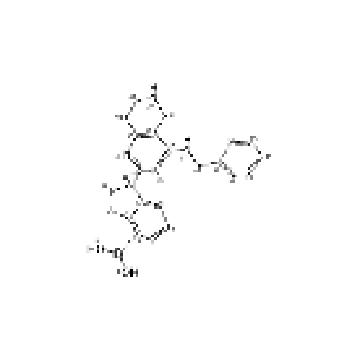 OB(O)c1cccc2c1cnn2-c1nc2c(c(NCc3ccccc3)n1)CNCC2